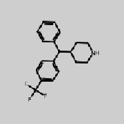 FC(F)(F)c1ccc(C(c2ccccc2)C2CCNCC2)cc1